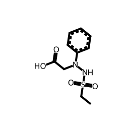 CCS(=O)(=O)NN(CC(=O)O)c1ccccc1